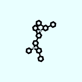 c1ccc(-c2ccc(-n3c4ccccc4c4cc(-c5ccc6c(c5)c5ccc(-c7ccccc7)cc5n6-c5ccccc5)ccc43)c(-c3ccccc3)c2)cc1